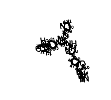 C[C@@H](Cn1cnnn1)Oc1cc(-c2cnc(Nc3cn(C4CCC(N5[C@@H]6CC[C@H]5COC6)CC4)nc3OCc3ccccn3)nc2)ccc1C#N